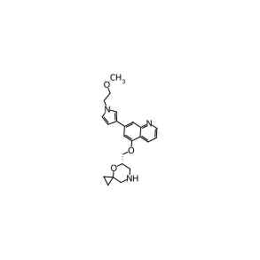 COCCn1ccc(-c2cc(OC[C@@H]3CNCC4(CC4)O3)c3cccnc3c2)c1